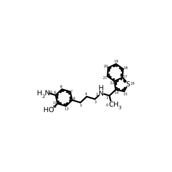 CC(NCCCc1ccc(N)c(O)c1)c1csc2ccccc12